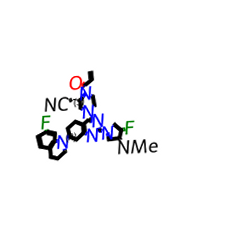 C=CC(=O)N1CCN(c2nc(N3CC(F)C(NC)C3)nc3c2CC[C@@H](N2CCCc4ccc(F)cc42)C3)C[C@@H]1CC#N